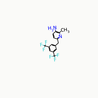 Cc1nc(Cc2cc(C(F)(F)F)cc(C(F)(F)F)c2)ccc1N